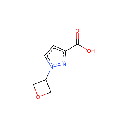 O=C(O)c1ccn(C2COC2)n1